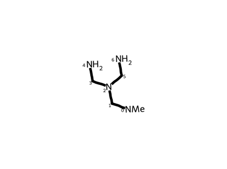 CNCN(CN)CN